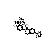 CS(=O)(=O)Nc1cc(N2CCc3cc(-c4ncco4)ccc3C2=O)ccc1O